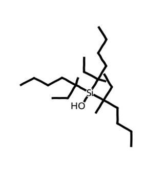 CCCCC(C)(CC)[Si](O)(C(C)(CC)CCCC)C(C)(CC)CCCC